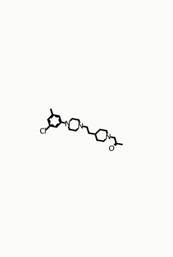 CC(=O)CN1CCC(CCN2CCN(c3cc(C)cc(Cl)c3)CC2)CC1